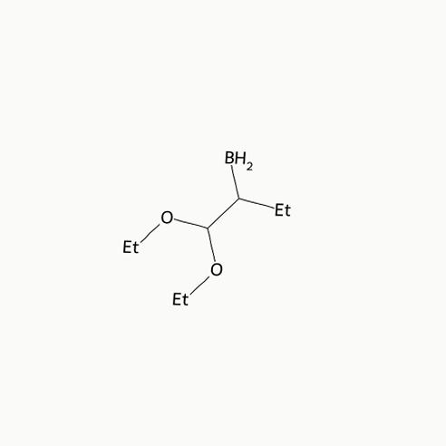 BC(CC)C(OCC)OCC